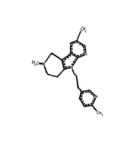 Cc1cnc2c(c1)c1c(n2CCc2ccc(C)nc2)CCN(C)C1